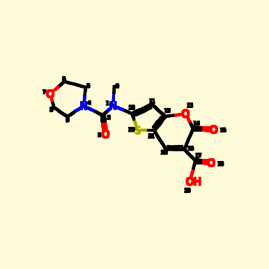 CN(C(=O)N1CCOCC1)c1cc2oc(=O)c(C(=O)O)cc2s1